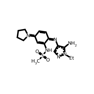 CCn1ncc(/N=C2/C=CC(=[N+]3CCCC3)C=C2NS(C)(=O)=O)c1N